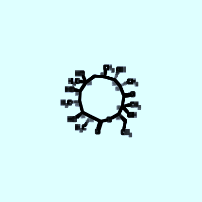 CC[C@H]1OC(=O)[C@H](C)[C@@H](O)[C@H](C)[C@@H](O)[C@](C)(O)C[C@@H](C)[C@H](O)[C@H](C)C(=O)[C@]1(C)O